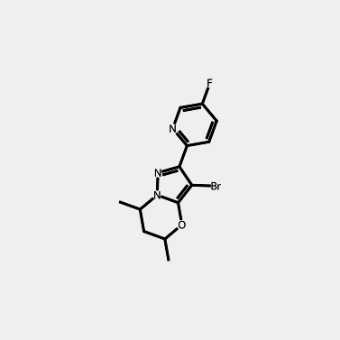 CC1CC(C)n2nc(-c3ccc(F)cn3)c(Br)c2O1